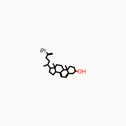 C=C(CCC(C)C1CCC2C3=CC=C4CC(O)CCC4(C)C3CCC21C)C(C)C